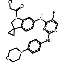 O=C(CCl)N1CC2(CC2)c2ccc(Nc3nc(Nc4ccc(N5CCOCC5)cc4)ncc3F)cc21